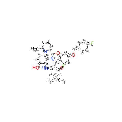 Cc1cccc(C(=O)N2c3cccc(O)c3NC3=C(C(=O)CC(C)(C)C3)C2c2ccc(OCc3ccc(F)cc3)cc2F)n1